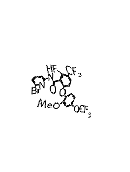 COc1cc(OC(F)(F)F)ccc1Oc1ccc(C(F)(F)F)c(F)c1C(=O)Nc1cccc(Br)n1